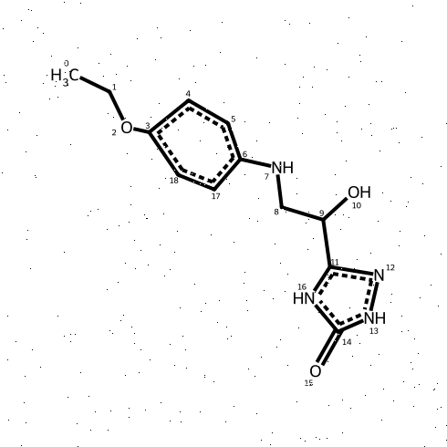 CCOc1ccc(NCC(O)c2n[nH]c(=O)[nH]2)cc1